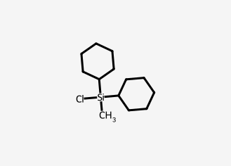 C[Si](Cl)(C1CCCCC1)C1CCCCC1